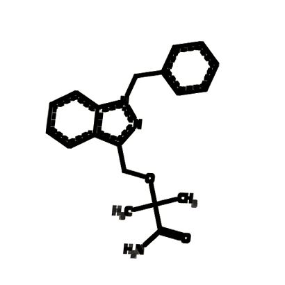 CC(C)(OCc1nn(Cc2ccccc2)c2ccccc12)C(N)=O